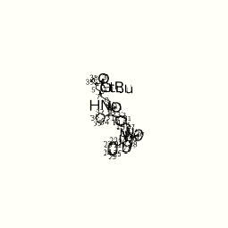 CC(C)(C)OC(=O)C1(CC=CCNC(=O)C(c2ccc(CN3N=C(c4ccccc4)OCC3=O)cc2)C2CCCC2)CC1